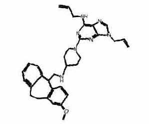 C=CCNc1nc(N2CCC(NCC3c4ccccc4CCc4cc(OC)ccc43)CC2)nc2c1ncn2CC=C